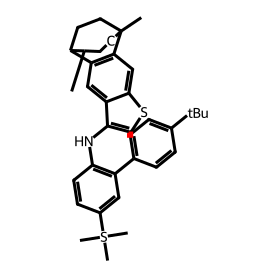 CC1CCC2(C)CCC1c1cc3c(Nc4ccc(S(C)(C)C)cc4-c4ccc(C(C)(C)C)cc4)csc3cc12